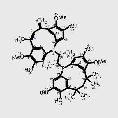 C=C1/C=C(/C)c2cc(cc(C(C)(C)C)c2OC)P([C@H](C)[C@@H](C)P2c3cc(C(C)(C)C)c(O)c(c3)C(C)(C)CC(C)(C)c3cc2cc(C(C)(C)C)c3OC)c2cc1c(OC)c(C(C)(C)C)c2